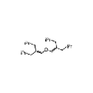 CC(C)CC(=COC=C(CC(C)C)CC(C)C)CC(C)C